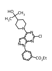 CCOC(=O)c1cccc(-n2ncc3c(N4CCC(C(C)(C)O)CC4)nc(Cl)nc32)c1